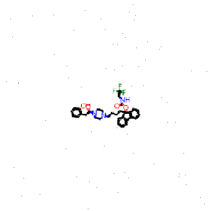 O=C(NCC(F)(F)F)OC1(CCCCN2CCN(C(=O)Cc3ccccc3O)CC2)c2ccccc2-c2ccccc21